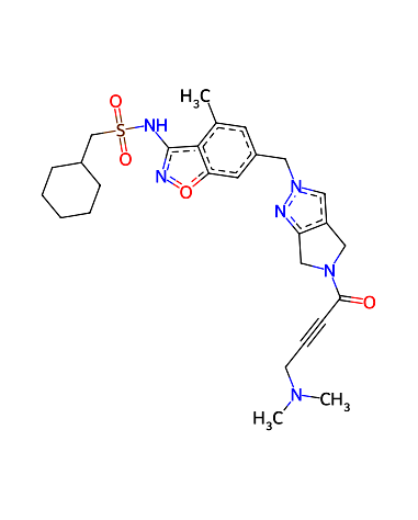 Cc1cc(Cn2cc3c(n2)CN(C(=O)C#CCN(C)C)C3)cc2onc(NS(=O)(=O)CC3CCCCC3)c12